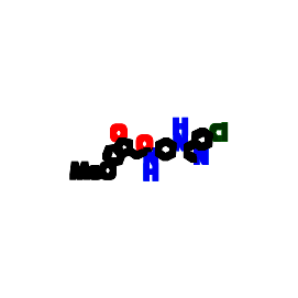 COc1ccc2c(c1)C(CC(=O)N[C@H]1CC[C@@H](Nc3ccnc4cc(Cl)ccc34)CC1)CC2=O